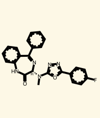 CN(c1nnc(-c2ccc(F)cc2)o1)[C@H]1N=C(c2ccccc2)c2ccccc2NC1=O